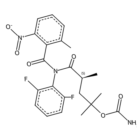 Cc1cccc([N+](=O)[O-])c1C(=O)N(C(=O)[C@@H](C)CC(C)(C)OC(N)=O)c1c(F)cccc1F